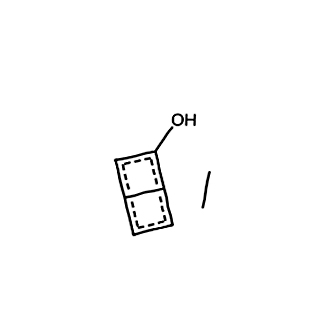 CC.Oc1cc2ccc1-2